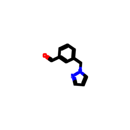 O=Cc1cccc(Cn2cccn2)c1